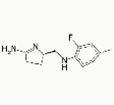 Cc1ccc(NC[C@H]2CCC(N)=N2)c(F)c1